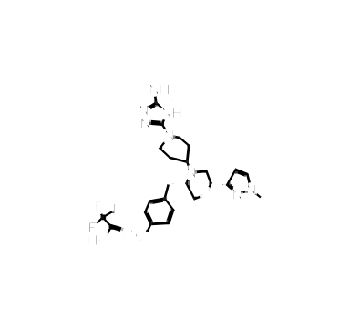 Cn1ccc([C@H]2CN(C3CCN(c4nnc(N)[nH]4)CC3)[C@@H](Cc3ccc(Cl)cc3)CO2)n1.O=C(O)C(F)(F)F